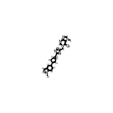 Cn1cnc2ncn(Cc3nc(C4C5C=C(c6ccc7c(cnn7C)c6)CC54)no3)c(=O)c21